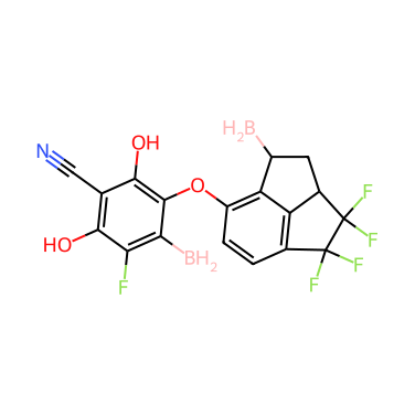 Bc1c(F)c(O)c(C#N)c(O)c1Oc1ccc2c3c1C(B)CC3C(F)(F)C2(F)F